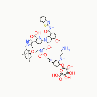 COCCN(CCOC12CC3(C)CC(C)(CC(Cn4ncc(-c5ccc(N6CCc7c(OC)ccc(C(=O)Nc8nc9ccccc9s8)c7C6)nc5C(=O)O)c4C)(C3)C1)C2)C(=O)OC/C=C/c1ccc(O[C@@H]2O[C@H](C(=O)O)[C@@H](O)[C@H](O)[C@H]2O)c(NCCCN)c1